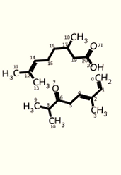 C=CC(C)=CCC(=O)C(C)C.CC(C)=CCCC(C)CC(=O)O